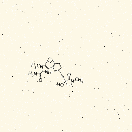 CN1CC[C@](O)(C#Cc2ccc3c(c2)C2=C(C4CC3C4)N(C)C(C(N)=O)N2)C1=O